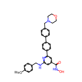 COc1ccc(CNc2cc(C(=O)NO)cc(-c3ccc(-c4ccc(CN5CCOCC5)cc4)cc3)n2)cc1